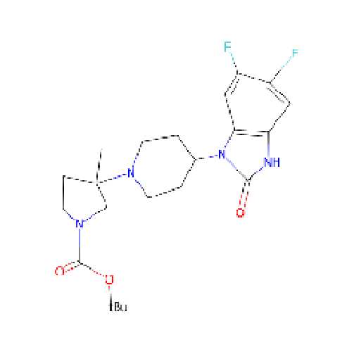 CC(C)(C)OC(=O)N1CCC(C)(N2CCC(n3c(=O)[nH]c4cc(F)c(F)cc43)CC2)C1